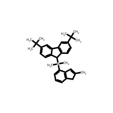 CC1=Cc2c(cccc2[Si](C)(C)C2c3ccc(C(C)(C)C)cc3-c3cc(C(C)(C)C)ccc32)C1